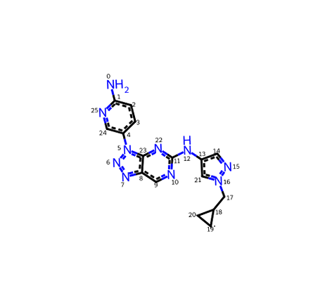 Nc1ccc(-n2nnc3cnc(Nc4cnn(CC5[CH]C5)c4)nc32)cn1